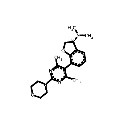 Cc1nc(N2CCOCC2)nc(C)c1-c1cccc2c1OC[C@H]2N(C)C